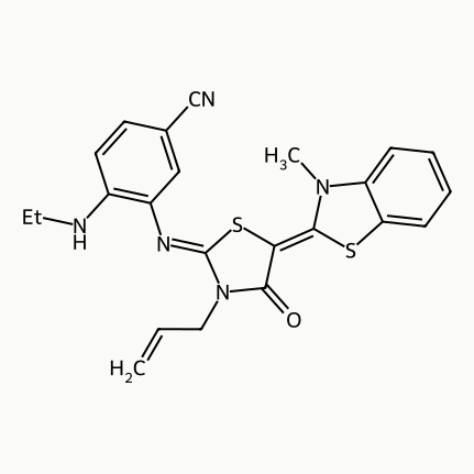 C=CCN1C(=O)C(=C2Sc3ccccc3N2C)SC1=Nc1cc(C#N)ccc1NCC